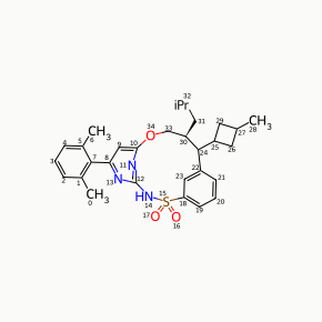 Cc1cccc(C)c1-c1cc2nc(n1)NS(=O)(=O)c1cccc(c1)C(C1CC(C)C1)[C@H](CC(C)C)CO2